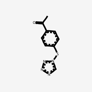 CC(=O)c1ccc(Sn2cnnn2)cc1